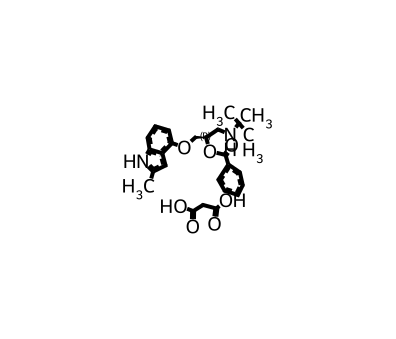 Cc1cc2c(OC[C@@H](CNC(C)(C)C)OC(=O)c3ccccc3)cccc2[nH]1.O=C(O)CC(=O)O